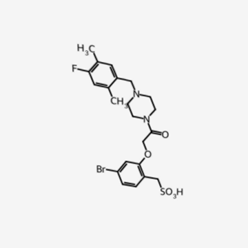 Cc1cc(CN2CCN(C(=O)COc3cc(Br)ccc3CS(=O)(=O)O)CC2)c(C)cc1F